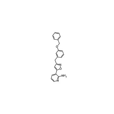 Nc1ncccc1-c1cc(Cc2cccc(OCc3ccccc3)c2)no1